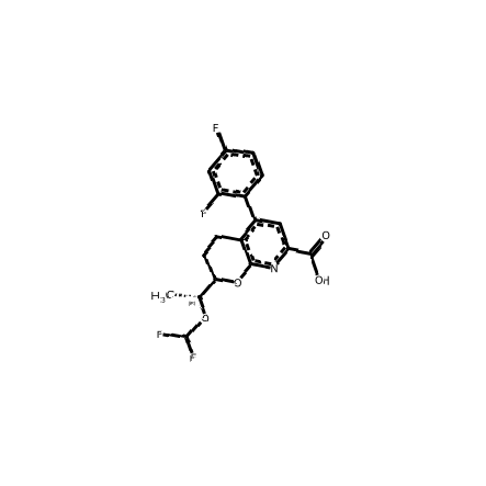 C[C@@H](OC(F)F)C1CCc2c(-c3ccc(F)cc3F)cc(C(=O)O)nc2O1